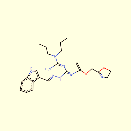 C=C(/N=C(\N=C(/N)N(CCC)CCC)N/N=C/c1c[nH]c2ccccc12)OCC1=NCCO1